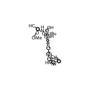 C#Cc1ccc(CNC(=O)[C@@H]2C[C@@H](O)CN2C(=O)[C@@H](NC(=O)N2CC3(CC(N4CCC(c5cnc(N6CCc7[nH]c8nnc(-c9ccccc9O)cc8c7[C@H]6C)nc5)CC4)C3)C2)C(C)(C)C)c(OCCCOC)c1